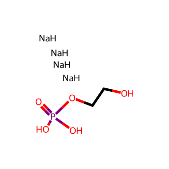 O=P(O)(O)OCCO.[NaH].[NaH].[NaH].[NaH]